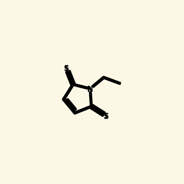 CCN1C(=S)C=CC1=S